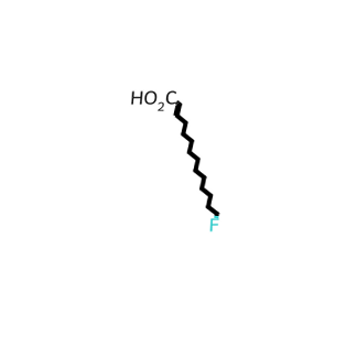 O=C(O)/C=C/CCCCCCCCCCCF